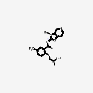 CCCCn1/c(=N/C(=O)c2cc(C(F)(F)F)ccc2OC[C@H](C)O)sc2ccncc21